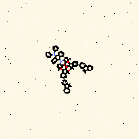 Cc1ccc(N(c2ccc(C)cc2-c2ccc3c(c2)C(C)(C)c2cc(-c4ccc5c(c4)C(C)(C)c4ccccc4-5)ccc2-3)c2c3ccccc3c(N(c3ccccc3)c3ccccc3)c3ccccc23)c(-c2ccc3c(c2)C(C)(C)c2cc(-c4ccc5c(c4)C(C)(C)c4ccccc4-5)ccc2-3)c1